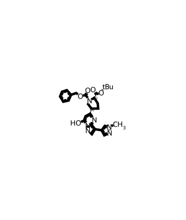 Cn1cc(-c2cnn3c(O)cc([C@H]4CC[C@@H](C(=O)OC(C)(C)C)N(C(=O)OCc5ccccc5)C4)nc23)cn1